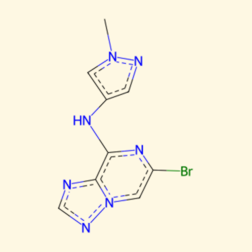 Cn1cc(Nc2nc(Br)cn3ncnc23)cn1